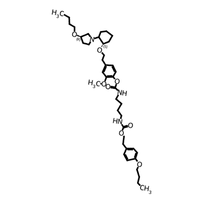 CCCCOc1ccc(CCOC(=O)NCCCCNC(=O)Oc2ccc(CCO[C@H]3CCCCC3N3CC[C@@H](OCCCC)C3)cc2OC)cc1